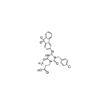 C[C@H](Cn1c(=O)[nH]/c(=N\c2ccc3c(c2)-c2ccccc2S3(=O)=O)n(Cc2ccc(Cl)cc2)c1=O)C(=O)O